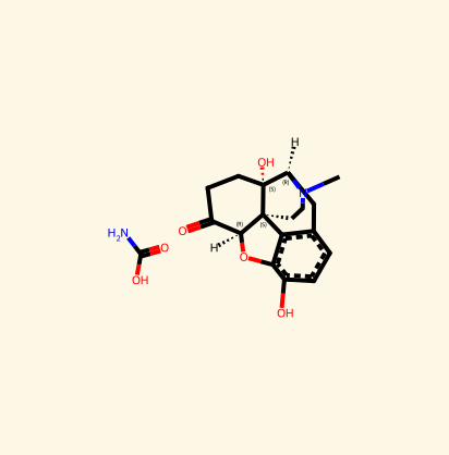 CN1CC[C@]23c4c5ccc(O)c4O[C@H]2C(=O)CC[C@@]3(O)[C@H]1C5.NC(=O)O